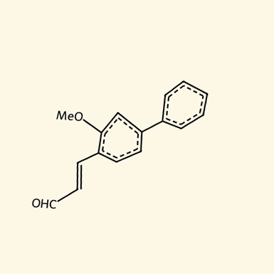 COc1cc(-c2ccccc2)ccc1C=CC=O